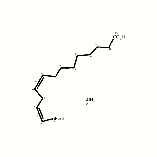 CCCCC/C=C\C/C=C\CCCCCCCC(=O)O.[AlH3]